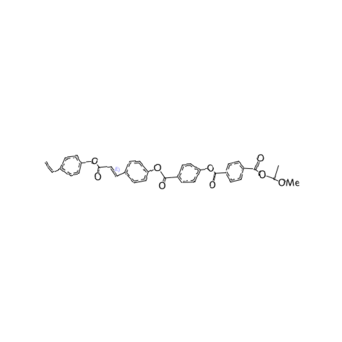 C=Cc1ccc(OC(=O)/C=C/c2ccc(OC(=O)c3ccc(OC(=O)c4ccc(C(=O)OC(C)OC)cc4)cc3)cc2)cc1